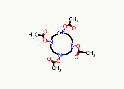 CC(=O)ON1CCN(OC(C)=O)CCN(OC(C)=O)CCN(OC(C)=O)CC1